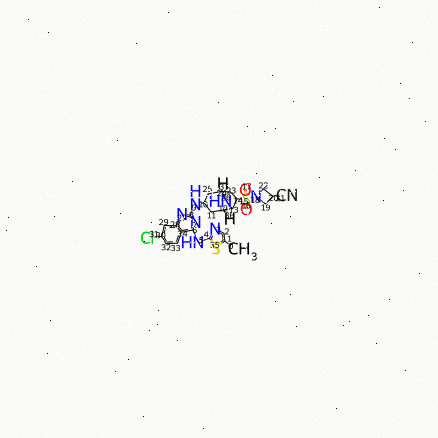 Cc1cnc(Nc2nc(N[C@@H]3C[C@H]4CC(S(=O)(=O)N5CC(C#N)C5)C[C@@H](C3)N4)nc3cc(Cl)ccc23)s1